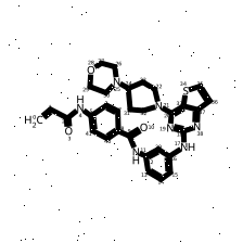 C=CC(=O)Nc1ccc(C(=O)Nc2cccc(Nc3nc(N4CCC(N5CCOCC5)CC4)c4sccc4n3)c2)cc1